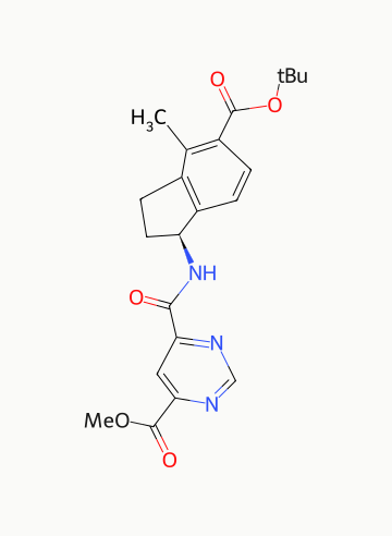 COC(=O)c1cc(C(=O)N[C@H]2CCc3c2ccc(C(=O)OC(C)(C)C)c3C)ncn1